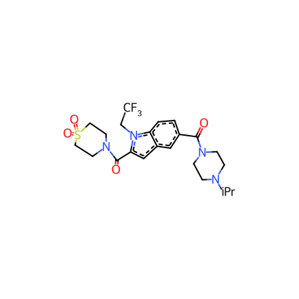 CC(C)N1CCN(C(=O)c2ccc3c(c2)cc(C(=O)N2CCS(=O)(=O)CC2)n3CC(F)(F)F)CC1